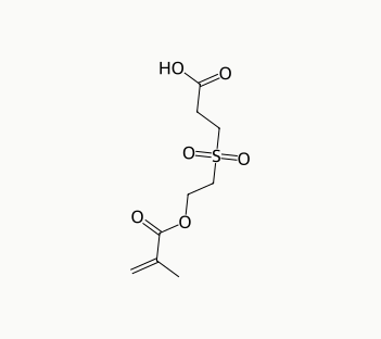 C=C(C)C(=O)OCCS(=O)(=O)CCC(=O)O